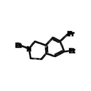 CCc1cc2c(cc1C(C)C)CN(CC)CC2